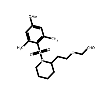 COc1cc(C)c(S(=O)(=O)N2CCCCC2CCOCC=O)c(C)c1